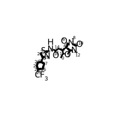 CC1Oc2c(c(=O)n(C)c(=O)n2C)C1CC(=O)Nc1nc(-c2ccc(C(F)(F)F)cc2)cs1